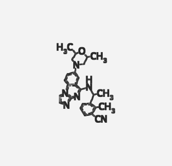 Cc1c(C#N)cccc1C(C)Nc1nc2nccn2c2ccc(N3CC(C)OC(C)C3)cc12